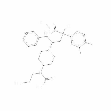 CCCN(C(C)=O)C1CCN(C(CC(C)(C(N)=O)c2ccc(Cl)c(Cl)c2)[C@@H](CC)c2ccccc2)CC1